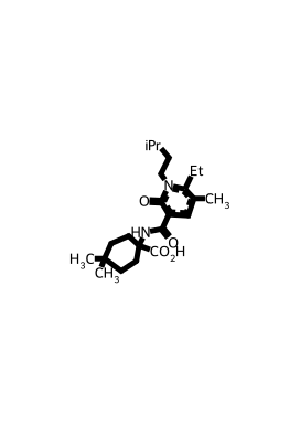 CCc1c(C)cc(C(=O)NC2(C(=O)O)CCC(C)(C)CC2)c(=O)n1CCC(C)C